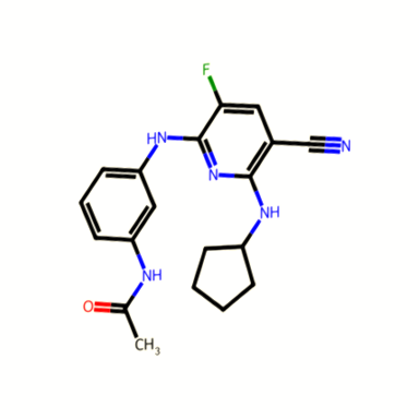 CC(=O)Nc1cccc(Nc2nc(NC3CCCC3)c(C#N)cc2F)c1